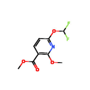 COC(=O)c1ccc(OC(F)F)nc1OC